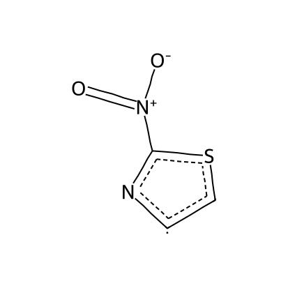 O=[N+]([O-])c1n[c]cs1